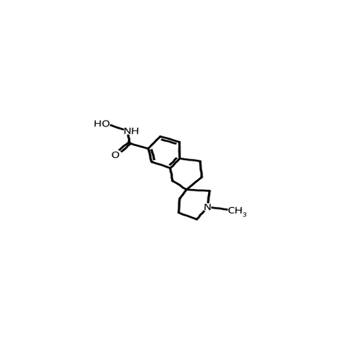 CN1CCCC2(CCc3ccc(C(=O)NO)cc3C2)C1